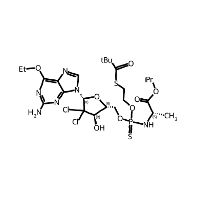 CCOc1nc(N)nc2c1ncn2[C@@H]1O[C@H](COP(=S)(N[C@@H](C)C(=O)OC(C)C)OCCSC(=O)C(C)(C)C)[C@@H](O)C1(Cl)Cl